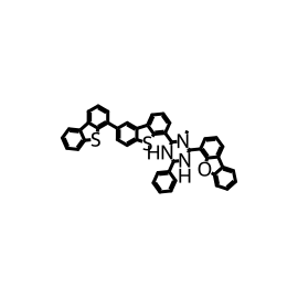 CN1C(c2cccc3c2oc2ccccc23)NC(c2ccccc2)NC1c1cccc2c1sc1ccc(-c3cccc4c3sc3ccccc34)cc12